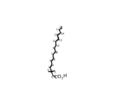 CC(C)(CCCCCCCCCCCCCI)CC(=O)O